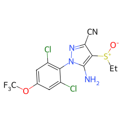 CC[S+]([O-])c1c(C#N)nn(-c2c(Cl)cc(OC(F)(F)F)cc2Cl)c1N